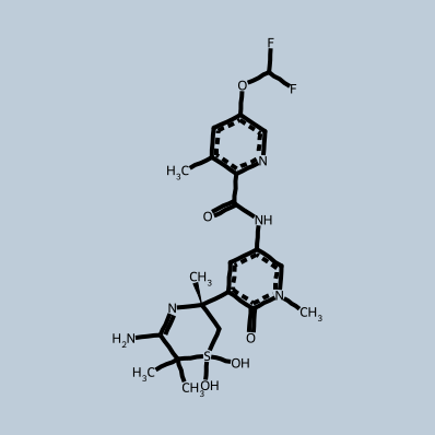 Cc1cc(OC(F)F)cnc1C(=O)Nc1cc([C@]2(C)CS(O)(O)C(C)(C)C(N)=N2)c(=O)n(C)c1